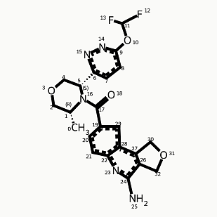 C[C@@H]1COC[C@H](c2ccc(OC(F)F)nn2)N1C(=O)c1ccc2nc(N)c3c(c2c1)COC3